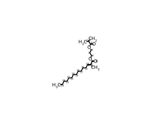 C=C(C)C(=O)OCCCOC(=O)C(C)=CCCCCCCCCCCCC